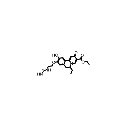 CCOC(=O)c1cn2c(cc1=O)-c1cc(O)c(OCCNN=N)cc1CC2CC